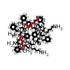 C[C@@H](c1ccccc1)N(CC(N)=O)C(=O)CN(C(=O)CN(CCCCN)C(=O)CN(Cc1ccccc1)C(=O)CN(Cc1ccccc1)C(=O)CN(CCCCN)C(=O)CN(Cc1ccccc1)C(=O)CN(Cc1ccccc1)C(=O)CN(CCCCN)C(=O)CN(C(=O)CN(C(=O)CNCCCCN)[C@@H](C)c1ccccc1)[C@@H](C)c1ccccc1)[C@@H](C)c1ccccc1